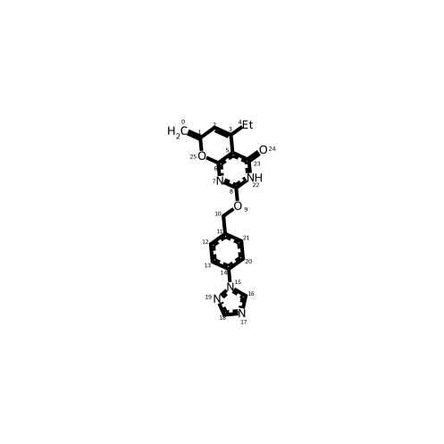 C=C1C=C(CC)c2c(nc(OCc3ccc(-n4cncn4)cc3)[nH]c2=O)O1